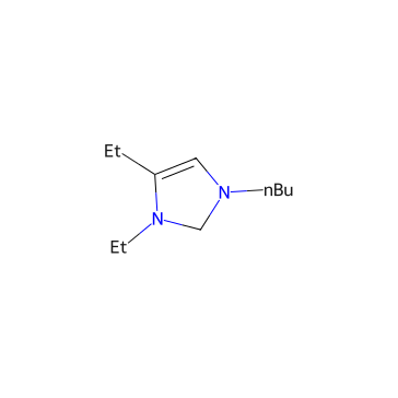 CCCCN1C=C(CC)N(CC)C1